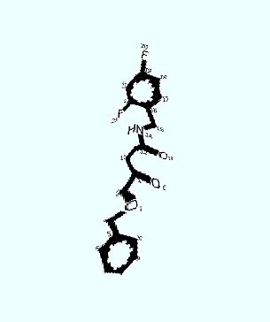 O=C(COCc1ccccc1)CC(=O)NCc1ccc(F)cc1F